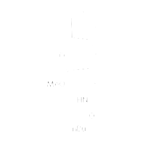 CCCCONCC(CC1CCCC1)C(=O)OC